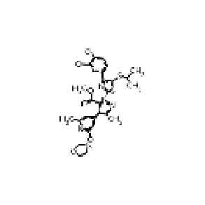 COC(=O)c1c(-c2cc(C)nc(O[C@@H]3CCOC3)c2)c(C)nn1-c1nc(-c2ccc(Cl)c(Cl)c2)c(SC(C)C)s1